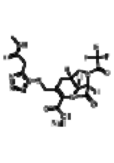 CNC(=O)Cc1nnnn1SCC1=C(C(=O)O)N2C(=O)[C@@H]3[C@H]2[C@H](C1)CN3C(=O)C(F)(F)F.[NaH]